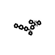 c1ccc(-c2ccc(-c3ccc(N(c4ccccc4)c4ccc(-c5nc6ccccc6nc5-c5ccccc5)cc4)cc3)cc2)cc1